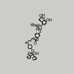 CN(CCCn1c(=O)oc2cc(CNC[C@@H](O[Si](C)(C)C(C)(C)C)c3ccc(O)c4[nH]c(=O)ccc34)ccc21)C1CCC(OC(=O)C(O)(c2cccs2)c2cccs2)CC1